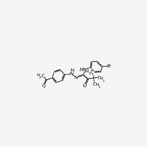 CC(=O)c1ccc(N/N=C(\Nc2ccc(Br)cc2)C(=O)C(C)(C)C)cc1